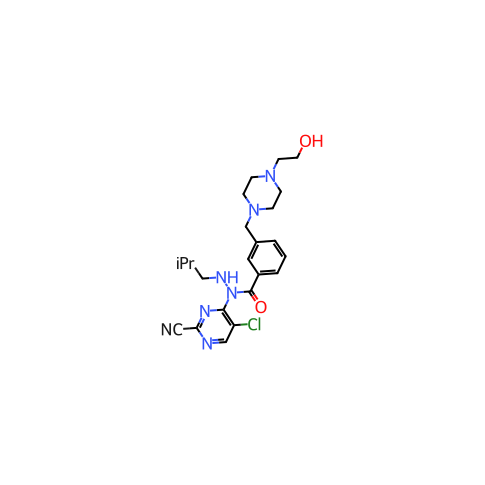 CC(C)CNN(C(=O)c1cccc(CN2CCN(CCO)CC2)c1)c1nc(C#N)ncc1Cl